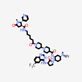 CC(C)N(C)[C@@H]1CC[C@H](N2CC[C@H](Nc3ncnc4ccc(C(F)(F)F)cc34)C2=O)[C@H](NC(=O)C2CCN(C3CCN(C(=O)CCCCCNC(=O)[C@H]4CC(=O)N(C)[C@@H]4c4cccnc4)CC3)CC2)C1